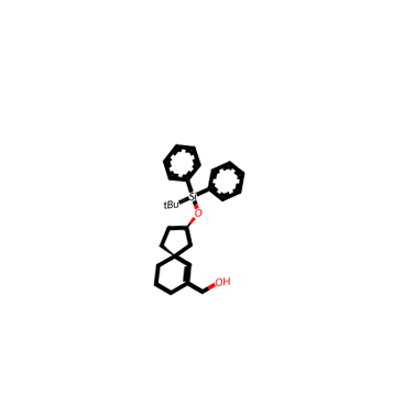 CC(C)(C)[Si](O[C@@H]1CC[C@]2(C=C(CO)CCC2)C1)(c1ccccc1)c1ccccc1